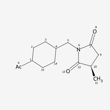 CC(=O)C1CCC(CN2C(=O)C[C@@H](C)C2=O)CC1